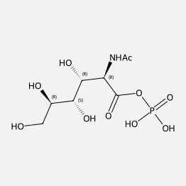 CC(=O)N[C@@H](C(=O)OP(=O)(O)O)[C@@H](O)[C@H](O)[C@H](O)CO